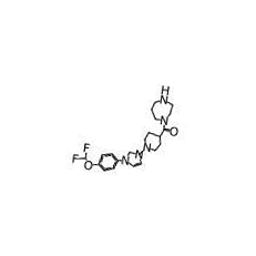 O=C(C1CCN(N2C=CN(c3ccc(OC(F)F)cc3)C2)CC1)N1CCCNCC1